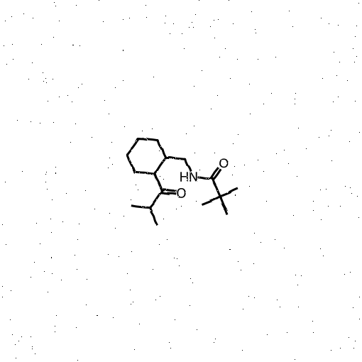 CC(C)C(=O)C1CCCCC1CNC(=O)C(C)(C)C